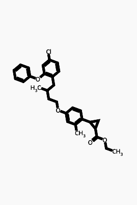 CCOC(=O)C1CC1c1ccc(OCCC(C)Cc2ccc(Cl)cc2Oc2ccccc2)cc1C